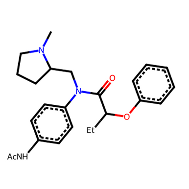 CCC(Oc1ccccc1)C(=O)N(CC1CCCN1C)c1ccc(NC(C)=O)cc1